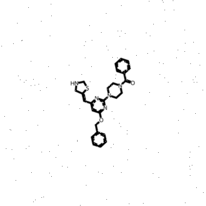 O=C(c1ccccc1)N1CCN(c2nc(C=C3CNCS3)cc(OCc3ccccc3)n2)CC1